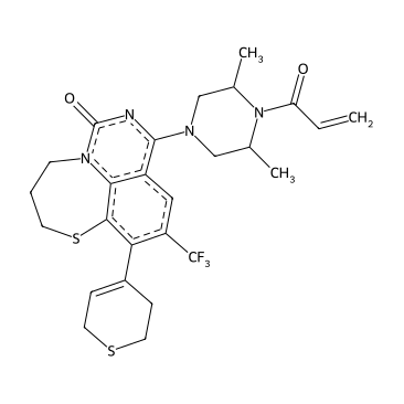 C=CC(=O)N1C(C)CN(c2nc(=O)n3c4c(c(C5=CCSCC5)c(C(F)(F)F)cc24)SCCC3)CC1C